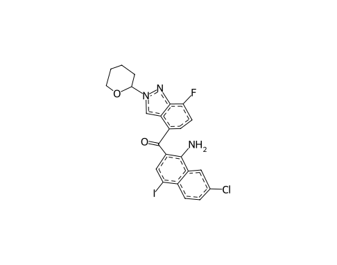 Nc1c(C(=O)c2ccc(F)c3nn(C4CCCCO4)cc23)cc(I)c2ccc(Cl)cc12